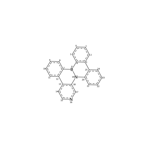 c1ccc2c(c1)B1c3ccccc3-c3ccncc3N1c1ccccc1-2